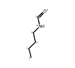 CCCCN[C]=O